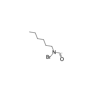 CCCCCCN(Br)[C]=O